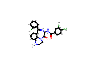 CN1CCN2C(=O)C(NC(=O)c3ccc(Cl)c(Cl)c3)N=C(c3ccccc3F)c3cccc1c32